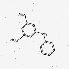 CNc1cc(Nc2ccccc2)cc(C(=O)O)c1